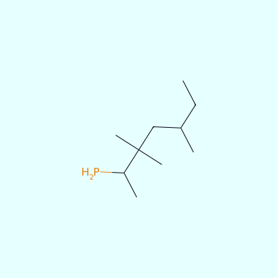 CCC(C)CC(C)(C)C(C)P